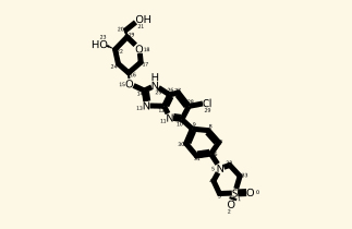 O=S1(=O)CCN(c2ccc(-c3nc4nc(O[C@H]5CO[C@H](CO)[C@@H](O)C5)[nH]c4cc3Cl)cc2)CC1